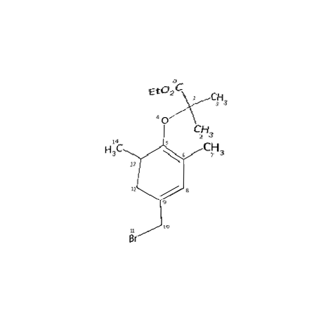 CCOC(=O)C(C)(C)OC1=C(C)C=C(CBr)CC1C